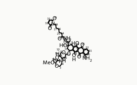 CO[C@H]1OCCN2[C@@H]1O[C@@H]1[C@H](C)O[C@@H](O[C@H]3C[C@](O)(/C(C)=N/NC(=O)CCCCCN4C(=O)C=CC4=O)Cc4c(O)c5c(c(O)c43)C(=O)c3c(N)cccc3C5=O)C[C@@H]12